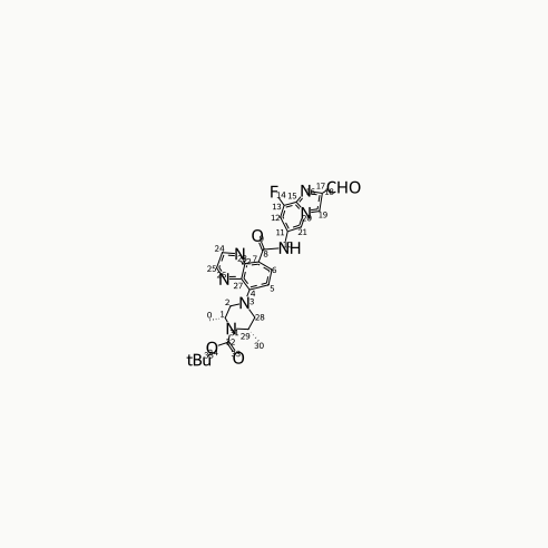 C[C@@H]1CN(c2ccc(C(=O)Nc3cc(F)c4nc(C=O)cn4c3)c3nccnc23)C[C@H](C)N1C(=O)OC(C)(C)C